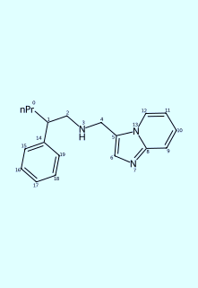 CCCC(CNCc1cnc2ccccn12)c1ccccc1